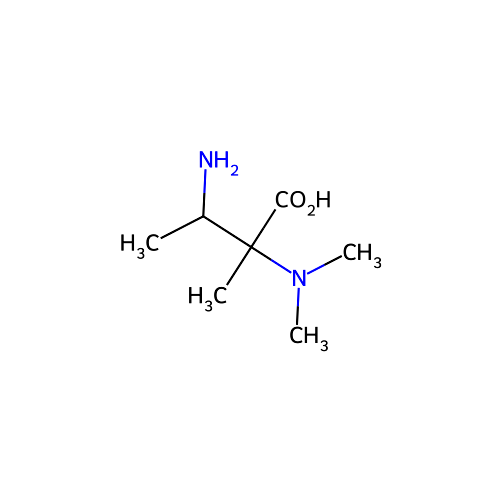 CC(N)C(C)(C(=O)O)N(C)C